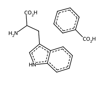 NC(Cc1c[nH]c2ccccc12)C(=O)O.O=C(O)c1ccccc1